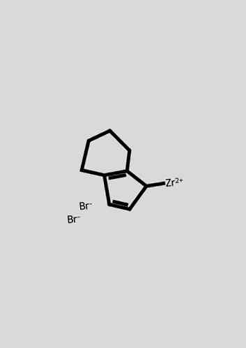 [Br-].[Br-].[Zr+2][CH]1C=CC2=C1CCCC2